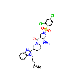 COCCCn1c(C2CCCN(C(=O)[C@@H]3CN(S(=O)(=O)c4ccc(Cl)cc4Cl)C[C@H]3N)C2)nc2ccccc21